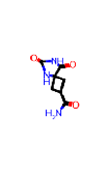 NC(=O)C1CC2(C1)NC(=O)NC2=O